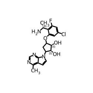 Cc1ncnc2c1ccn2C1CC(Oc2cc(Cl)cc(F)c2[C@@H](C)N)[C@@H](O)[C@H]1O